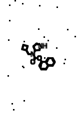 O=C(Oc1cccc2ccccc12)N(CC1CCC1)C1CCNC1